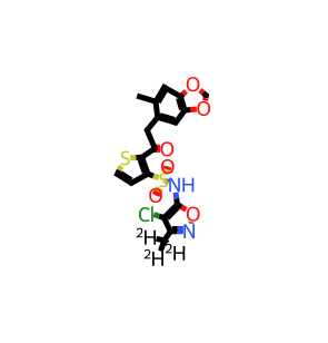 [2H]C([2H])([2H])c1noc(NS(=O)(=O)c2ccsc2C(=O)Cc2cc3c(cc2C)OCO3)c1Cl